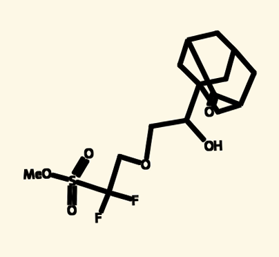 COS(=O)(=O)C(F)(F)COCC(O)C12CC3CC(C1)C(=O)C(C3)C2